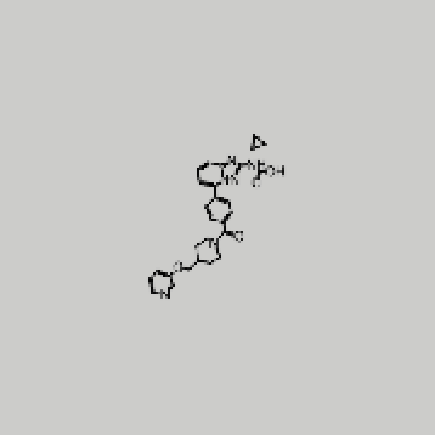 C1CC1.O=C(O)Nc1nc2cccc(-c3ccc(C(=O)N4CCC(COc5cccnc5)CC4)cc3)n2n1